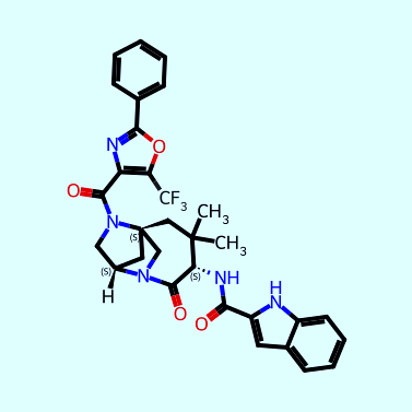 CC1(C)C[C@@]23C[C@@H](CN2C(=O)c2nc(-c4ccccc4)oc2C(F)(F)F)N(C3)C(=O)[C@H]1NC(=O)c1cc2ccccc2[nH]1